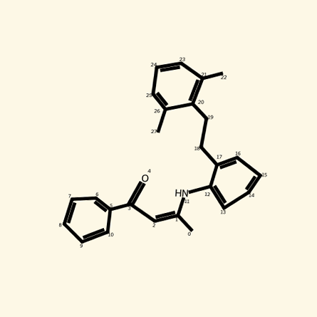 C/C(=C/C(=O)c1ccccc1)Nc1ccccc1CCc1c(C)cccc1C